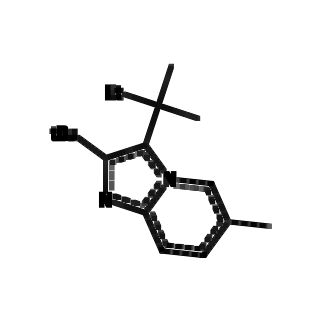 CCC(C)(C)c1c(C(C)(C)C)nc2ccc(C)cn12